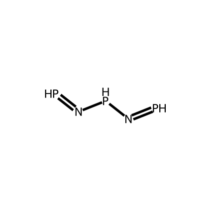 P=NPN=P